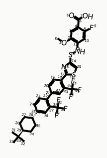 COc1cc(C(=O)O)c(F)cc1NSc1csc(-c2ccc(-c3ccc([C@H]4CC[C@H](C(C)(C)C)CC4)cc3C(F)(F)F)cc2C(F)(F)F)n1